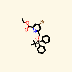 CCOC(=O)c1cc(Br)cc(CO[Si](c2ccccc2)(c2ccccc2)C(C)(C)C)n1